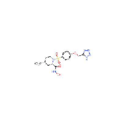 O=C(O)[C@@H]1CCN(S(=O)(=O)c2ccc(OCc3nnn[nH]3)cc2)[C@@H](C(=O)NO)C1